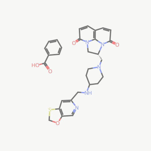 O=C(O)c1ccccc1.O=c1ccc2ccc(=O)n3c2n1C[C@H]3CN1CCC(NCc2cc3c(cn2)OCS3)CC1